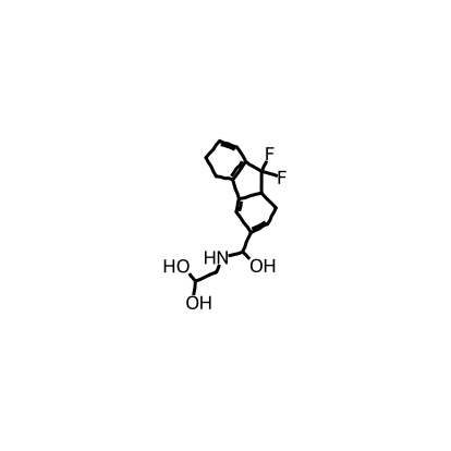 OC(O)CNC(O)C1=CCC2C(=C1)C1=C(C=CCC1)C2(F)F